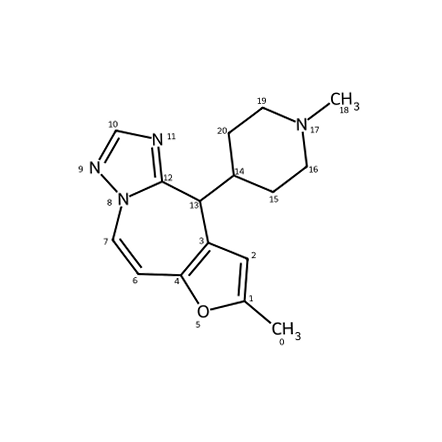 Cc1cc2c(o1)C=Cn1ncnc1C2C1CCN(C)CC1